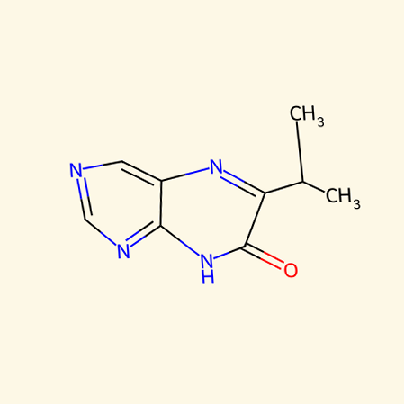 CC(C)c1nc2cncnc2[nH]c1=O